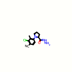 Cc1c(N2CCCC2C(=O)NN)ccc(C#N)c1Cl